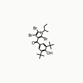 CCC(C)n1c(Br)c(Br)c(C(=O)c2cc(C(C)(C)C)c(O)c(C(C)(C)C)c2)c1Br